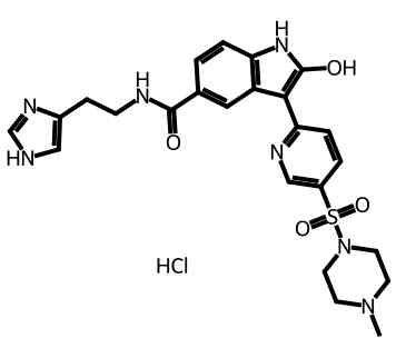 CN1CCN(S(=O)(=O)c2ccc(-c3c(O)[nH]c4ccc(C(=O)NCCc5c[nH]cn5)cc34)nc2)CC1.Cl